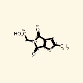 Cc1cc2c(s1)C(=O)N(CC(=O)O)C2=O